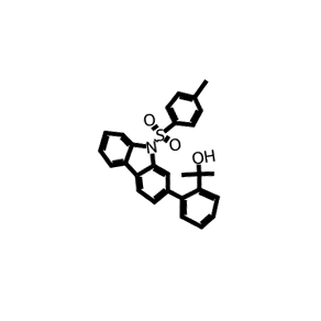 Cc1ccc(S(=O)(=O)n2c3ccccc3c3ccc(-c4ccccc4C(C)(C)O)cc32)cc1